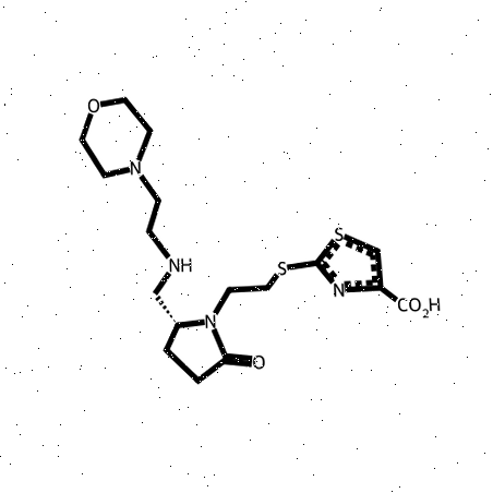 O=C(O)c1csc(SCCN2C(=O)CC[C@@H]2CNCCN2CCOCC2)n1